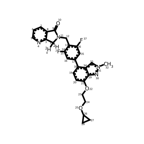 [2H]C1([2H])c2ncccc2C(=O)N1Cc1c(F)cc(-c2ccc(OCCOC3CC3)c3nn(C)cc23)cc1F